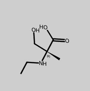 CCN[C@](C)(CO)C(=O)O